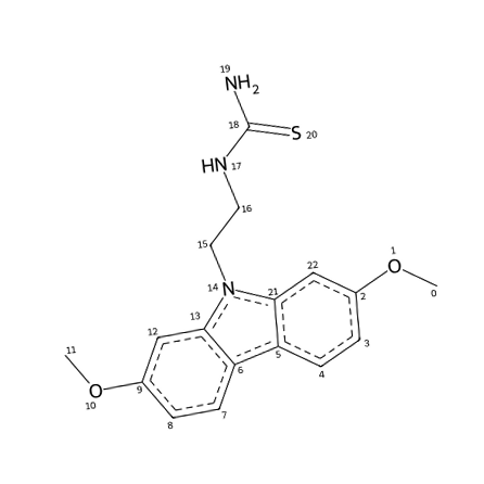 COc1ccc2c3ccc(OC)cc3n(CCNC(N)=S)c2c1